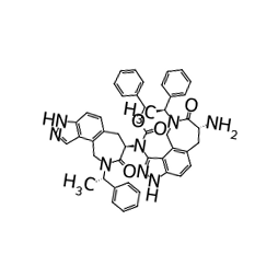 C[C@@H](c1ccccc1)N1Cc2c(ccc3[nH]nc(N(C(=O)OCc4ccccc4)[C@@H]4Cc5ccc6[nH]ncc6c5CN([C@@H](C)c5ccccc5)C4=O)c23)C[C@@H](N)C1=O